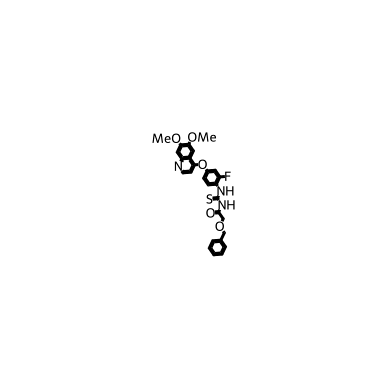 COc1cc2nccc(Oc3ccc(NC(=S)NC(=O)COCc4ccccc4)c(F)c3)c2cc1OC